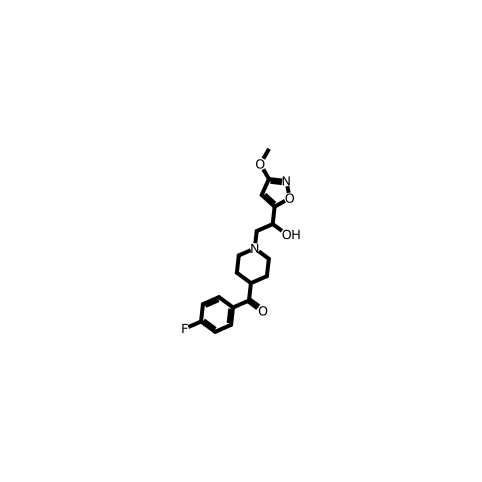 COc1cc(C(O)CN2CCC(C(=O)c3ccc(F)cc3)CC2)on1